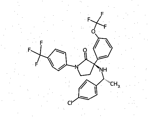 C[C@@H](N[C@@]1(c2cccc(OC(F)(F)F)c2)CCN(c2ccc(C(F)(F)F)cc2)C1=O)c1ccc(Cl)cc1